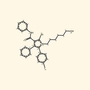 CC(C)c1c(C(=O)Nc2ccccc2)c(-c2ccccc2)c(-c2ccc(F)cc2)n1CCCCCCO